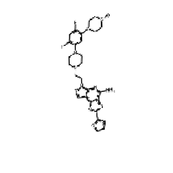 Nc1nc2c(cnn2CCN2CCN(c3cc(N4CC[S+]([O-])CC4)c(F)cc3F)CC2)c2nc(-c3ccco3)nn12